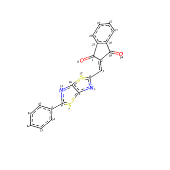 O=C1C(=Cc2nc3sc(-c4ccccc4)nc3s2)C(=O)c2ccccc21